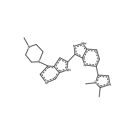 Cc1ncc(-c2ccc3[nH]nc(-c4cc5c(N6CCN(C)CC6)cncc5[nH]4)c3n2)n1C